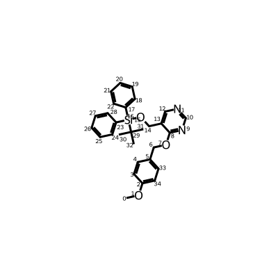 COc1ccc(COc2ncncc2CO[Si](c2ccccc2)(c2ccccc2)C(C)(C)C)cc1